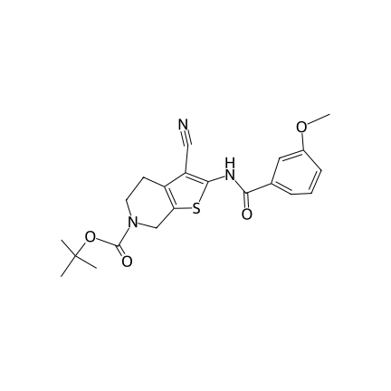 COc1cccc(C(=O)Nc2sc3c(c2C#N)CCN(C(=O)OC(C)(C)C)C3)c1